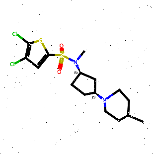 CC1CCN([C@H]2CC[C@@H](N(C)S(=O)(=O)c3cc(Cl)c(Cl)s3)C2)CC1